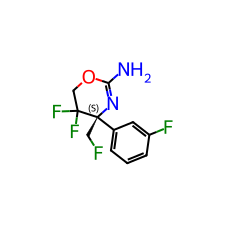 NC1=N[C@](CF)(c2cccc(F)c2)C(F)(F)CO1